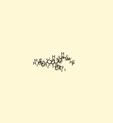 C[C@@H]1Cc2c([nH]c3ccc(CC[Si](C)(C)C)cc23)[C@@H](c2ccc(NC3CN(CCCF)C3)cn2)N1CC(F)(F)F